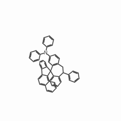 c1ccc(C2Cc3ccc(N(c4ccccc4)c4ccccc4)cc3C3(c4ccccc4-c4ccc5ccccc5c43)c3ccccc32)cc1